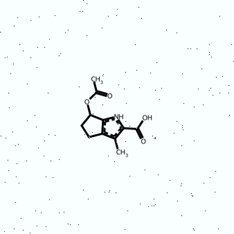 CC(=O)OC1CCc2c1[nH]c(C(=O)O)c2C